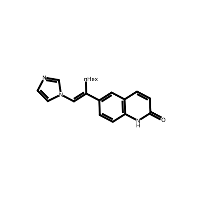 CCCCCCC(=Cn1ccnc1)c1ccc2[nH]c(=O)ccc2c1